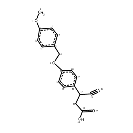 COc1ccc(COc2ccc(C(C#N)CC(=O)O)cc2)cc1